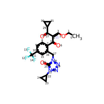 CCO/C=C(\C(=O)c1ccc(C(F)(F)F)cc1Cn1nnn(C2CC2)c1=O)C(=O)C1CC1